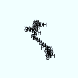 C=CC(=O)N1CCN(c2nc(NCCC(=O)N(C)CCOCCOCCOCCNc3cccc4c3C(=O)N(C3CCC(=O)NC3=O)C4=O)nc3c(F)c(-c4cc(O)cc5ccccc45)c(Cl)cc23)CC1